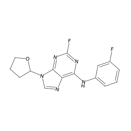 Fc1cccc(Nc2nc(F)nc3c2ncn3C2CCCO2)c1